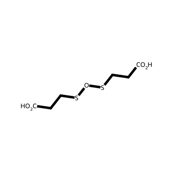 O=C(O)CCSOSCCC(=O)O